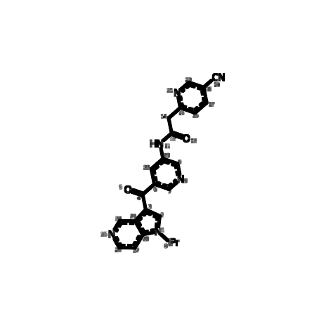 CC(C)n1cc(C(=O)c2cncc(NC(=O)Cc3ccc(C#N)cn3)c2)c2cnccc21